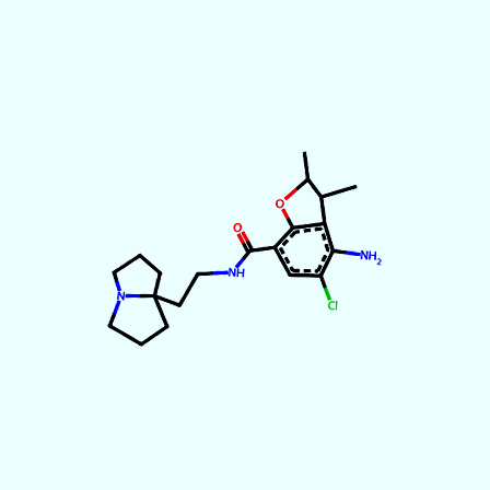 CC1Oc2c(C(=O)NCCC34CCCN3CCC4)cc(Cl)c(N)c2C1C